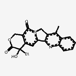 CCC1(O)C(=O)OCc2c1cc1n(c2=O)Cc2c-1nc1ccccc1c2C